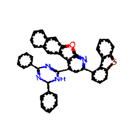 c1ccc(C2=NC(c3ccccc3)NC(c3cc(-c4cccc5sc6ccccc6c45)nc4oc5cc6ccccc6cc5c34)=N2)cc1